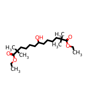 CCOC(=O)C(C)(C)CCCCC(O)CCCCC(C)(C)C(=O)OCC